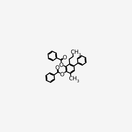 CCCc1c(-c2ccccc2)cc(C)c(OC(=O)c2ccccc2)c1OC(=O)c1ccccc1